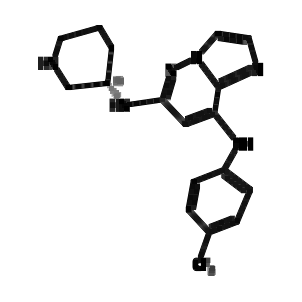 FC(F)(F)c1ccc(Nc2cc(N[C@H]3CCCNC3)nn3ccnc23)cc1